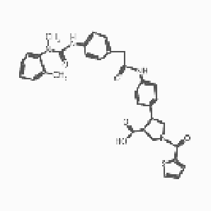 Cc1ccccc1N(C)C(=O)Nc1ccc(CC(=O)Nc2ccc(C3CN(C(=O)c4cccs4)CC3C(=O)O)cc2)cc1